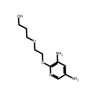 Nc1cnc(OCCOCCCO)c(N)c1